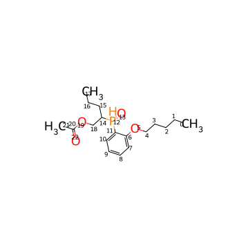 CCCCCOc1ccccc1[PH](=O)C(CCC)COC(C)=O